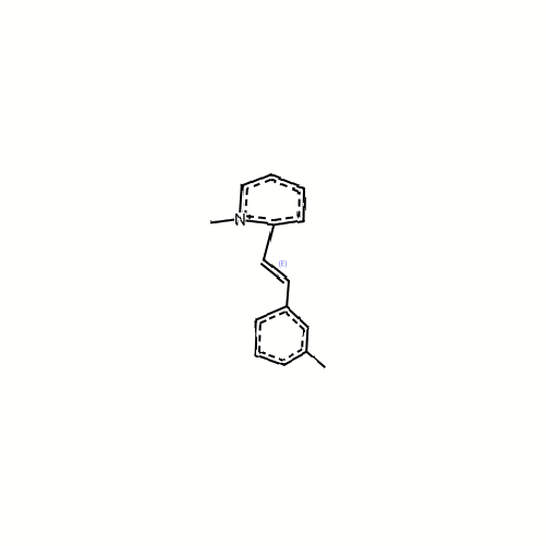 Cc1cccc(/C=C/c2cccc[n+]2C)c1